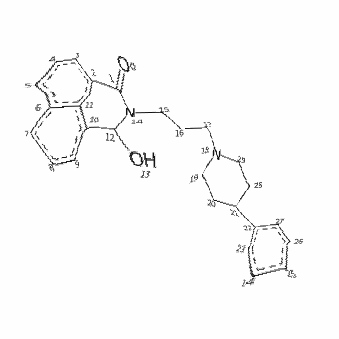 O=C1c2cccc3cccc(c23)C(O)N1CCCN1CCC(c2ccccc2)CC1